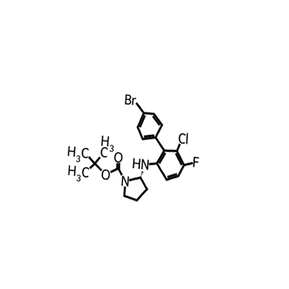 CC(C)(C)OC(=O)N1CCC[C@H]1Nc1ccc(F)c(Cl)c1-c1ccc(Br)cc1